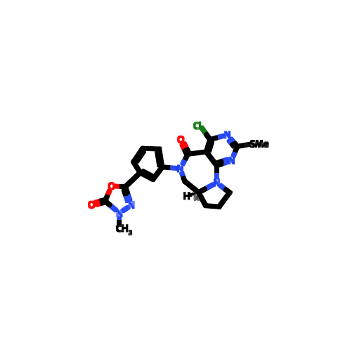 CSc1nc(Cl)c2c(n1)N1CCC[C@H]1CN(c1cccc(-c3nn(C)c(=O)o3)c1)C2=O